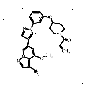 C=CC(=O)N1CCC(Oc2cccc(-n3cc(-c4cc(OC)c5c(C#N)cnn5c4)cn3)c2)CC1